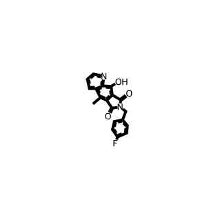 Cc1c2c(c(O)c3ncccc13)C(=O)N(Cc1ccc(F)cc1)C2=O